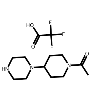 CC(=O)N1CCC(N2CCNCC2)CC1.O=C(O)C(F)(F)F